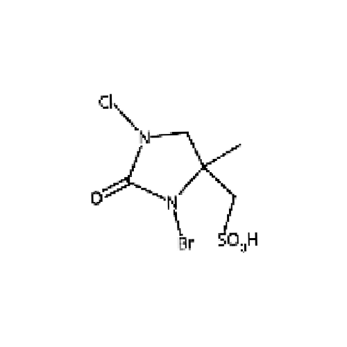 CC1(CS(=O)(=O)O)CN(Cl)C(=O)N1Br